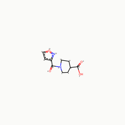 O=C(O)C1CCN(C(=O)c2ccon2)CC1